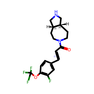 O=C(/C=C/c1ccc(OC(F)(F)F)c(F)c1)N1CC[C@@H]2CNC[C@@H]2CC1